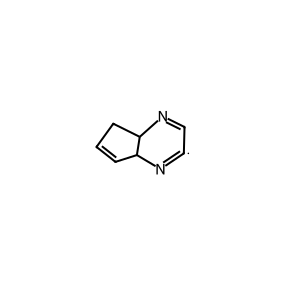 [C]1=NC2C=CCC2N=C1